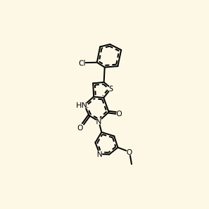 COc1cncc(-n2c(=O)[nH]c3cc(-c4ccccc4Cl)sc3c2=O)c1